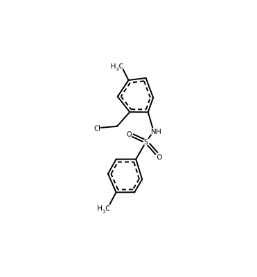 Cc1ccc(S(=O)(=O)Nc2ccc(C)cc2CCl)cc1